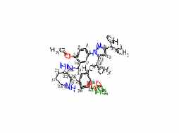 COc1ccc(-n2nc(C(C)C)cc2C(C)C)cc1CN[C@H]1CCCN[C@H]1c1ccccc1.Cl.Cl.O